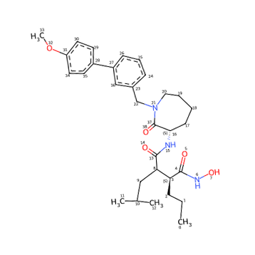 CCC[C@H](C(=O)NO)C(CC(C)C)C(=O)N[C@H]1CCCCN(Cc2cccc(-c3ccc(OC)cc3)c2)C1=O